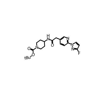 CC(C)(C)OC(=O)N1CCC(NC(=O)Cc2ccc(-n3ccc(F)n3)nc2)CC1